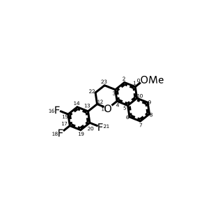 COc1cc2c(c3ccccc13)OC(c1cc(F)c(F)cc1F)CC2